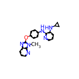 Cn1c(Oc2ccc(Nc3ncccc3NC3CC3)cc2)nc2cccnc21